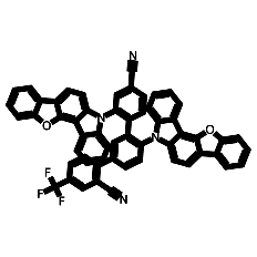 N#Cc1ccc(-c2cc(-c3ccc(C(F)(F)F)cc3C#N)ccc2-n2c3ccccc3c3c4oc5ccccc5c4ccc32)c(-n2c3ccccc3c3c4oc5ccccc5c4ccc32)c1